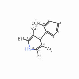 CCC1=C(C(C)=O)C(c2ccccc2[N+](=O)[O-])C(C(C)=O)=C(CC)N1